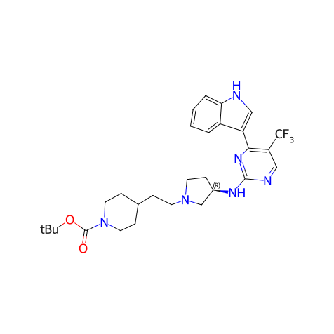 CC(C)(C)OC(=O)N1CCC(CCN2CC[C@@H](Nc3ncc(C(F)(F)F)c(-c4c[nH]c5ccccc45)n3)C2)CC1